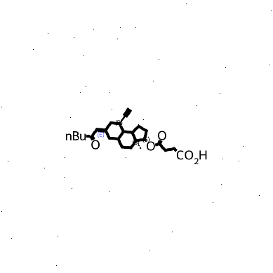 C#C[C@@H]1C/C(=C/C(=O)CCCC)CC2CC[C@@]3(C)C(CC[C@@H]3OC(=O)CCC(=O)O)C21